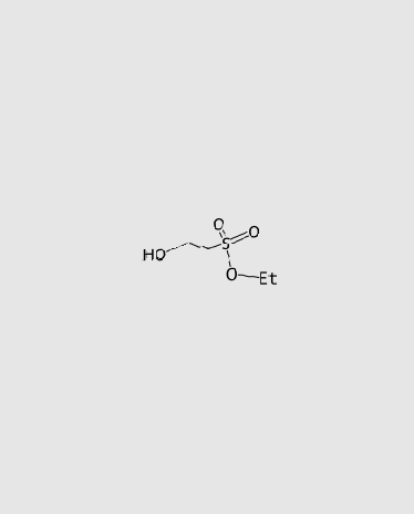 CCOS(=O)(=O)CCO